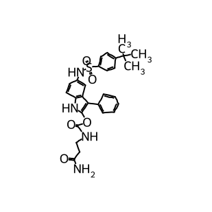 CC(C)(C)c1ccc(S(=O)(=O)Nc2ccc3[nH]c(OC(=O)NCCC(N)=O)c(-c4ccccc4)c3c2)cc1